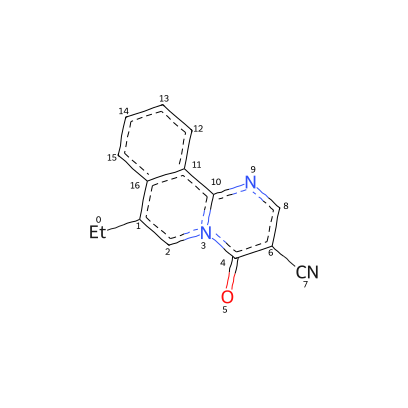 CCc1cn2c(=O)c(C#N)cnc2c2ccccc12